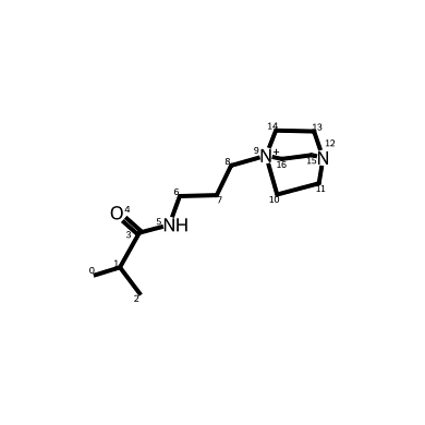 CC(C)C(=O)NCCC[N+]12CCN(CC1)CC2